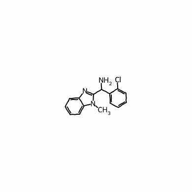 Cn1c(C(N)c2ccccc2Cl)nc2ccccc21